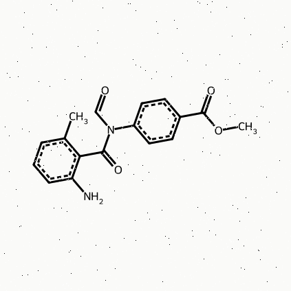 COC(=O)c1ccc(N(C=O)C(=O)c2c(C)cccc2N)cc1